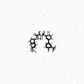 CC(NC(=O)C1C=C(c2ccc(F)c(C(F)F)c2)CCN1)C(=O)NC1CCc2nc(N)ccc21